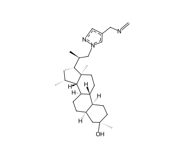 C=NCc1cnn(C[C@H](C)[C@H]2C[C@@H](C)[C@H]3[C@@H]4CC[C@@H]5C[C@](C)(O)CC[C@@H]5[C@H]4CC[C@@]32C)c1